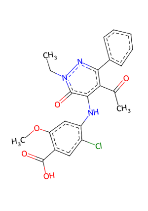 CCn1nc(-c2ccccc2)c(C(C)=O)c(Nc2cc(OC)c(C(=O)O)cc2Cl)c1=O